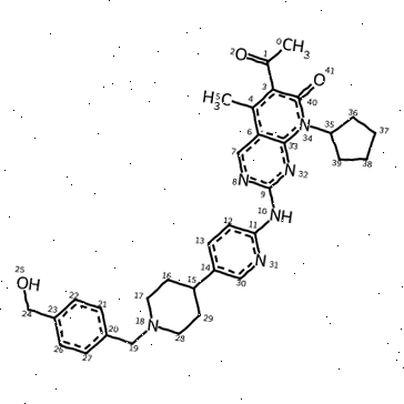 CC(=O)c1c(C)c2cnc(Nc3ccc(C4CCN(Cc5ccc(CO)cc5)CC4)cn3)nc2n(C2CCCC2)c1=O